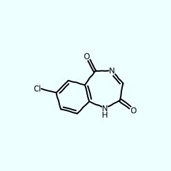 O=c1cnc(=O)c2cc(Cl)ccc2[nH]1